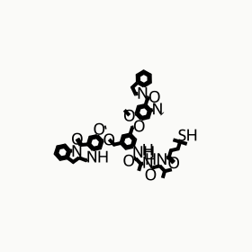 C=Nc1cc(OCc2cc(COc3cc4c(cc3OC)C(=O)N3c5ccccc5CC3CN4)cc(NC(=O)C(C)NC(=O)C(NC(=O)CCC(C)(C)S)C(C)C)c2)c(OC)cc1C(=O)N1CCc2ccccc21